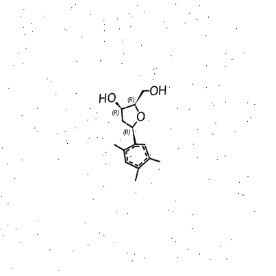 Cc1cc(C)c([C@H]2C[C@@H](O)[C@@H](CO)O2)cc1C